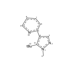 Cn1ncc(-c2ccccn2)c1C(C)(C)C